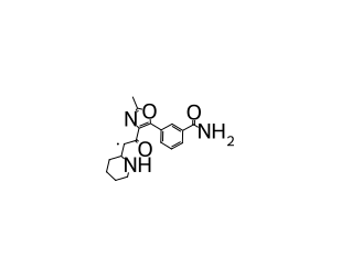 Cc1nc(C(=O)[CH]C2CCCCN2)c(-c2cccc(C(N)=O)c2)o1